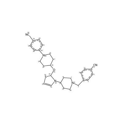 N#Cc1ccc(CN2CCC(N3C=CSC3OC3CCN(c4ccc(C#N)cc4)CC3)CC2)cc1